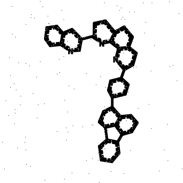 c1ccc2c(c1)-c1cccc3c(-c4ccc(-c5ccc6ccc7ccc(-c8cnc9ccccc9c8)nc7c6n5)cc4)ccc-2c13